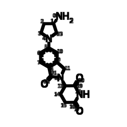 N[C@@H]1CCN(c2ccc3c(c2)CN(C2CCC(=O)NC2=O)C3=O)C1